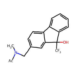 CC(=O)N(C)Cc1ccc2c(c1)C(O)(C(F)(F)F)c1ccccc1-2